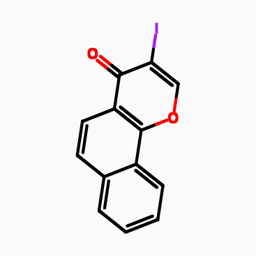 O=c1c(I)coc2c1ccc1ccccc12